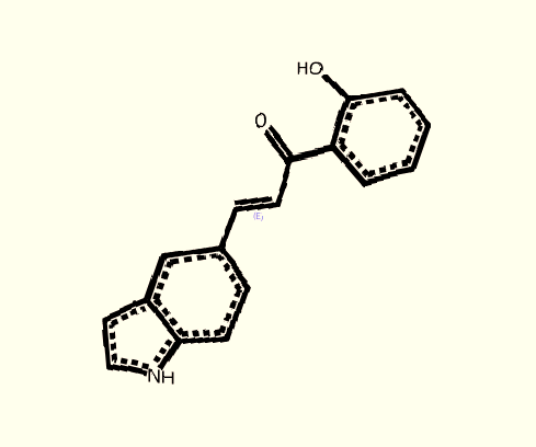 O=C(/C=C/c1ccc2[nH]ccc2c1)c1ccccc1O